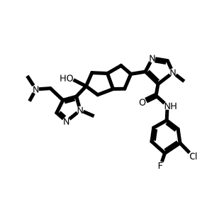 CN(C)Cc1cnn(C)c1C1(O)CC2CC(c3ncn(C)c3C(=O)Nc3ccc(F)c(Cl)c3)CC2C1